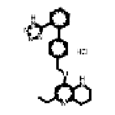 CCc1cc(OCc2ccc(-c3ccccc3-c3nnn[nH]3)cc2)c2c(n1)CCCN2.Cl